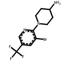 NC1CCN(c2ncc(C(F)(F)F)cc2Br)CC1